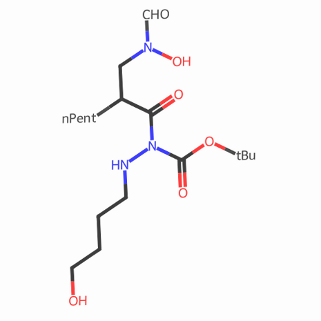 CCCCCC(CN(O)C=O)C(=O)N(NCCCCO)C(=O)OC(C)(C)C